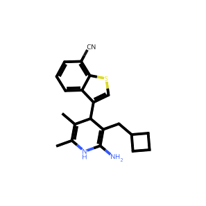 CC1=C(C)C(c2csc3c(C#N)cccc23)C(CC2CCC2)=C(N)N1